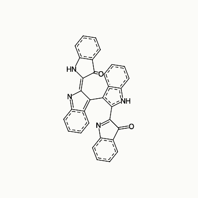 O=C1C(c2[nH]c3ccccc3c2C2=c3ccccc3=N/C2=C2\Nc3ccccc3C2=O)=Nc2ccccc21